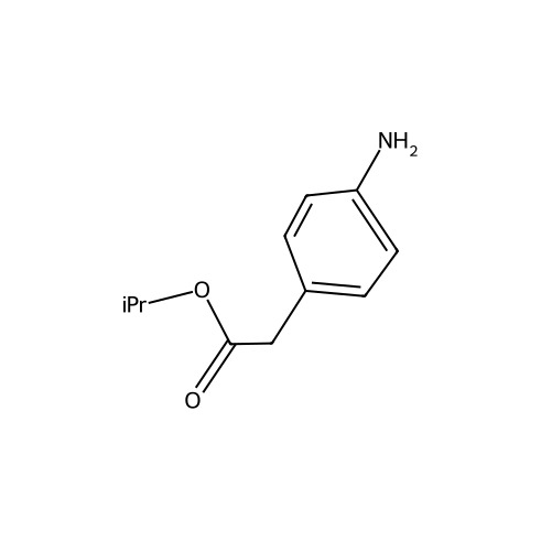 CC(C)OC(=O)Cc1ccc(N)cc1